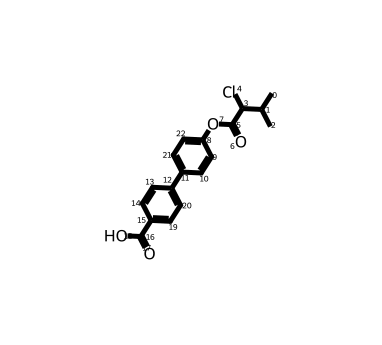 CC(C)C(Cl)C(=O)Oc1ccc(-c2ccc(C(=O)O)cc2)cc1